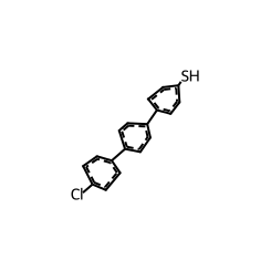 Sc1ccc(-c2ccc(-c3ccc(Cl)cc3)cc2)cc1